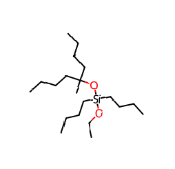 CCCCC(C)(CCCC)O[Si](CCCC)(CCCC)OCC